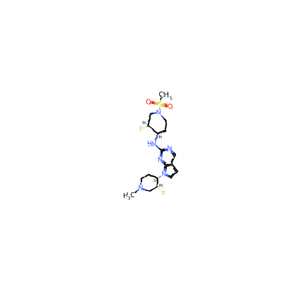 CN1CC[C@H](n2ccc3cnc(N[C@@H]4CCN(S(C)(=O)=O)C[C@H]4F)nc32)[C@H](F)C1